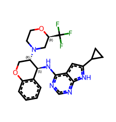 FC(F)(F)[C@H]1CN([C@H]2COc3ccccc3[C@@H]2Nc2ncnc3[nH]c(C4CC4)cc23)CCO1